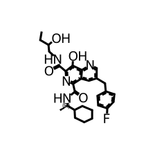 CCC(O)CNC(=O)c1nc(C(=O)N[C@H](C)C2CCCCC2)c2cc(Cc3ccc(F)cc3)cnc2c1O